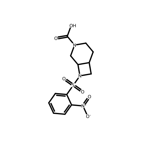 O=C(O)N1CCC2CN(S(=O)(=O)c3ccccc3[N+](=O)[O-])C2C1